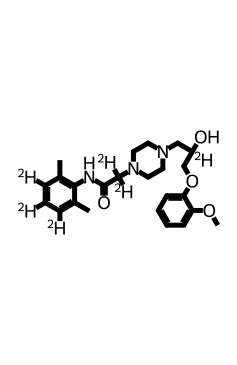 [2H]c1c([2H])c(C)c(NC(=O)C([2H])([2H])N2CCN(CC([2H])(O)COc3ccccc3OC)CC2)c(C)c1[2H]